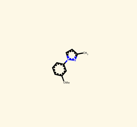 COc1cccc(-n2[c]cc(C)n2)c1